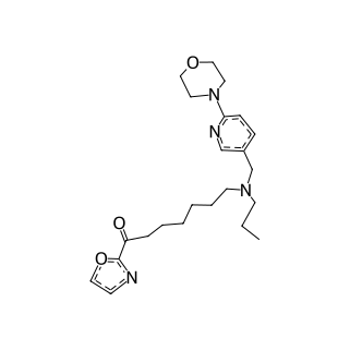 CCCN(CCCCCCC(=O)c1ncco1)Cc1ccc(N2CCOCC2)nc1